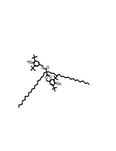 CCCCCCCCCCCCCCCCCCC(CCCCCCCCCCCCCCCCCC)(C(=O)OCc1cc(C(C)(C)C)c(O)c(C(C)(C)C)c1)C(=O)OCc1cc(C(C)(C)C)c(O)c(C(C)(C)C)c1